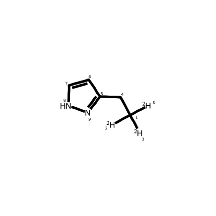 [2H]C([2H])([2H])Cc1cc[nH]n1